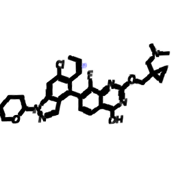 C/C=C\c1c(Cl)cc2c(cnn2C2CCCCO2)c1-c1ccc2c(O)nc(OCC3(CN(C)C)CC3)nc2c1F